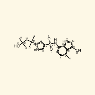 Cc1ccc(NS(=O)(=O)c2cnn(C(C)(C)CC(C)(C)O)c2)c2[nH]cc(C#N)c12